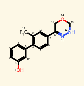 Oc1cccc(-c2ccc(C3=NNCOC3)cc2C(F)(F)F)c1